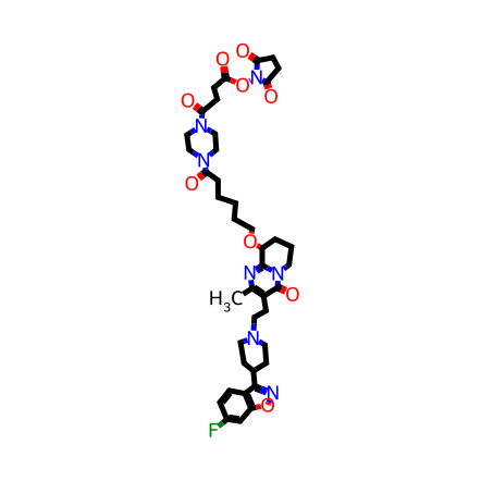 Cc1nc2n(c(=O)c1CCN1CCC(c3noc4cc(F)ccc34)CC1)CCCC2OCCCCCC(=O)N1CCN(C(=O)CCC(=O)ON2C(=O)CCC2=O)CC1